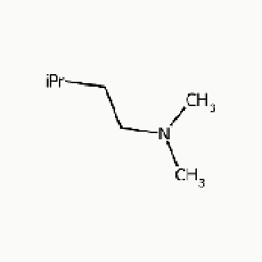 CC(C)CCN(C)C